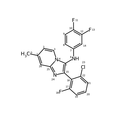 Cc1ccn2c(Nc3ccc(F)c(F)c3)c(-c3c(F)cccc3Cl)nc2c1